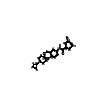 O=C(Nc1ccc2c(c1)COC1(CCN(C3CCC3)CC1)O2)c1ccnc(F)c1